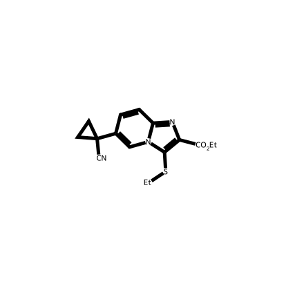 CCOC(=O)c1nc2ccc(C3(C#N)CC3)cn2c1SCC